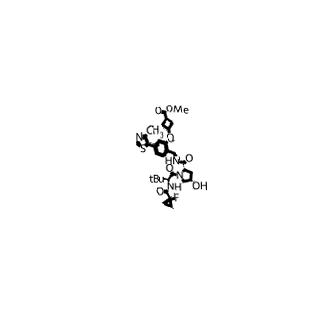 COC(=O)C1CC(Oc2cc(-c3scnc3C)ccc2CNC(=O)[C@@H]2C[C@@H](O)CN2C(=O)[C@@H](NC(=O)C2(F)CC2)C(C)(C)C)C1